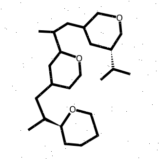 CC(CC1COC[C@H](C(C)C)C1)C1CC(CC(C)[C@@H]2CCCCO2)CCO1